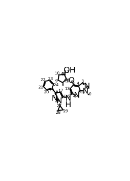 Cn1ncc2c(O[C@@H]3CCC[C@@H]3O)cc(Nc3cc(-c4ccccc4)nn3C3CC3)nc21